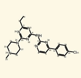 CCc1nc(Nc2nccc(-c3ccc(Cl)cc3)n2)nc(N2CCN(C)CC2)n1